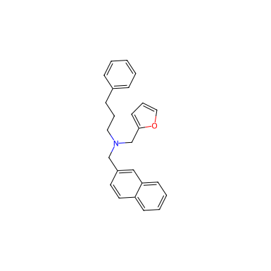 c1ccc(CCCN(Cc2ccc3ccccc3c2)Cc2ccco2)cc1